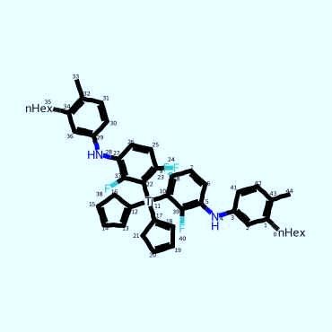 CCCCCCc1cc(Nc2ccc(F)[c]([Ti]([C]3=CC=CC3)([C]3=CC=CC3)[c]3c(F)ccc(Nc4ccc(C)c(CCCCCC)c4)c3F)c2F)ccc1C